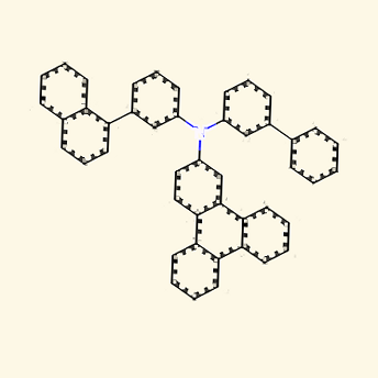 c1ccc(-c2cccc(N(c3cccc(-c4cccc5ccccc45)c3)c3ccc4c5ccccc5c5ccccc5c4c3)c2)cc1